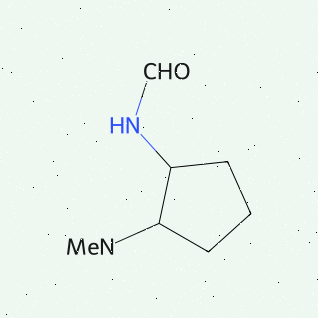 CNC1CCCC1NC=O